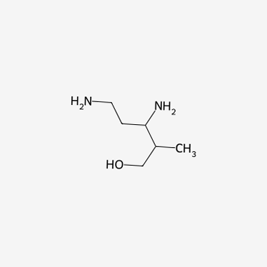 CC(CO)C(N)CCN